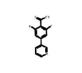 O=C(O)c1c(F)cc(-c2cccnc2)cc1F